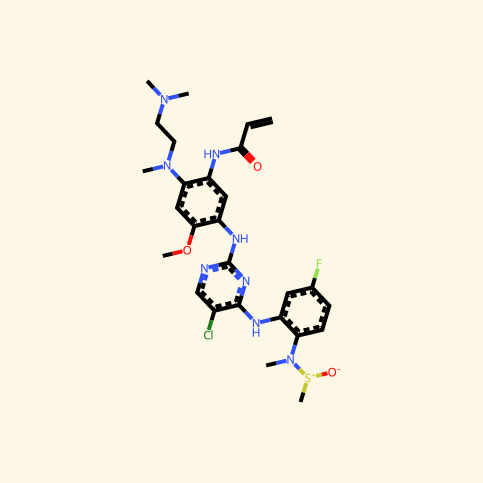 C=CC(=O)Nc1cc(Nc2ncc(Cl)c(Nc3cc(F)ccc3N(C)[S+](C)[O-])n2)c(OC)cc1N(C)CCN(C)C